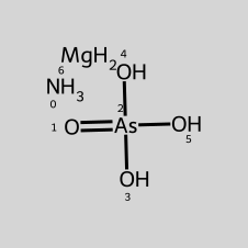 N.O=[As](O)(O)O.[MgH2]